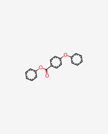 O=C(Oc1ccccc1)c1ccc(Oc2ccccc2)cc1